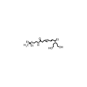 CCC(C=CNCCCC(=O)NCCSC(C)(CC)CC)N(CCO)CCO